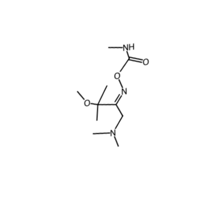 CNC(=O)ON=C(CN(C)C)C(C)(C)OC